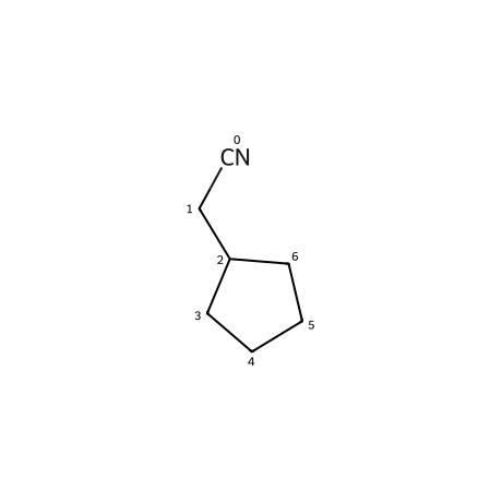 N#CCC1CCCC1